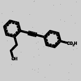 O=C(O)c1ccc(C#Cc2ccccc2CCO)cc1